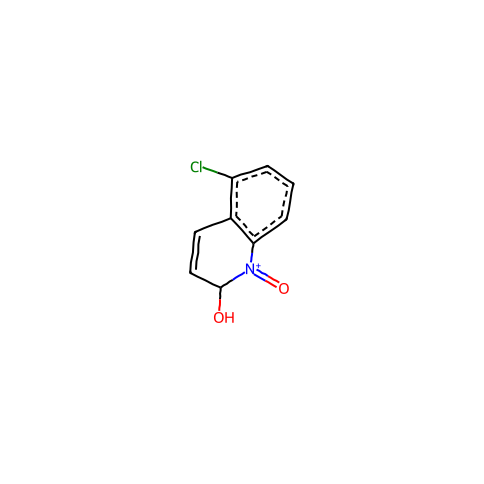 O=[N+]1c2cccc(Cl)c2C=CC1O